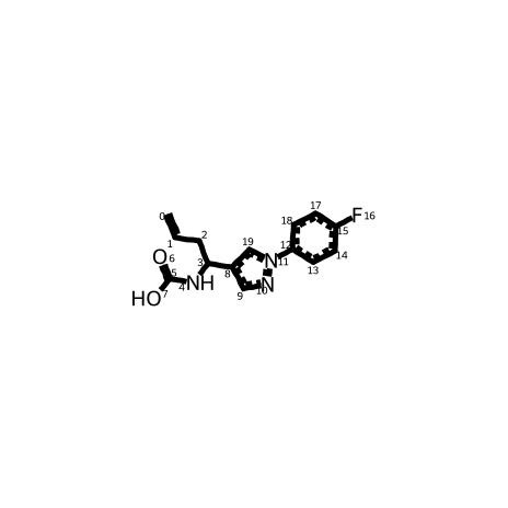 C=CCC(NC(=O)O)c1cnn(-c2ccc(F)cc2)c1